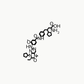 CC[C@@H]1C(=O)N(C)c2cnc(Nc3ccc(C(=O)Nc4ccc(CC(C[C@H](N)C(=O)O)C5CCCC5)cc4)cc3OC)nc2N1C1CCCC1